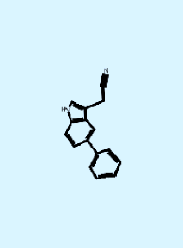 N#CCc1c[nH]c2ccc(-c3ccccc3)cc12